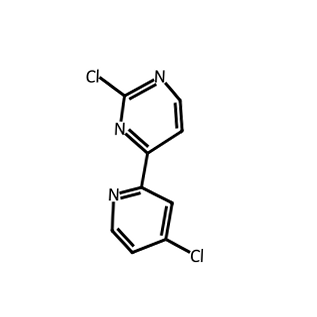 Clc1ccnc(-c2ccnc(Cl)n2)c1